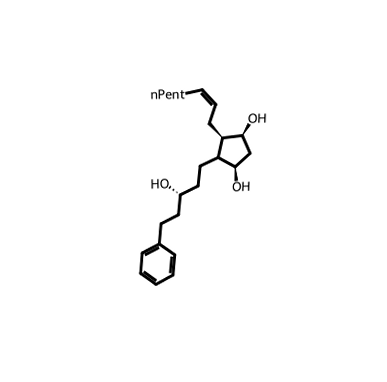 CCCCC/C=C\C[C@@H]1C(CC[C@@H](O)CCc2ccccc2)[C@H](O)C[C@@H]1O